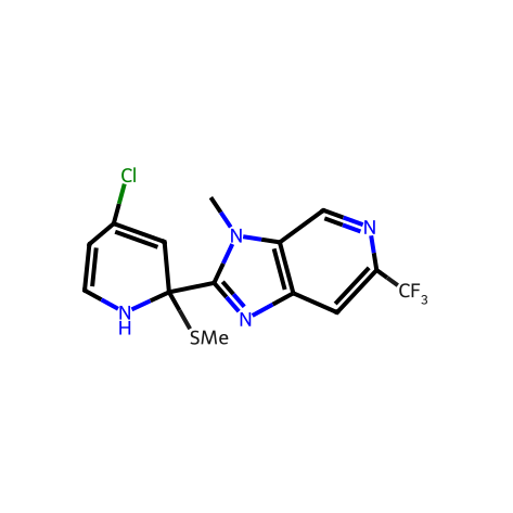 CSC1(c2nc3cc(C(F)(F)F)ncc3n2C)C=C(Cl)C=CN1